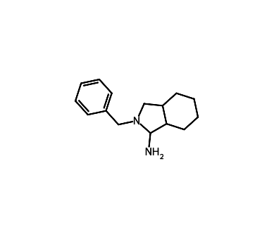 NC1C2CCCCC2CN1Cc1ccccc1